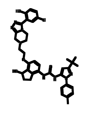 Cc1ccc(-n2nc(C(C)(C)C)cc2NC(=O)Nc2ccc(OCCN3CCn4c(nnc4-c4cc(Cl)ccc4O)C3)c3c2CCC3O)cc1